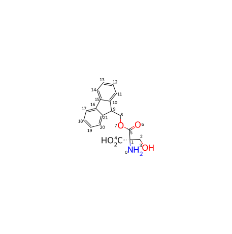 N[C@@](CO)(C(=O)O)C(=O)OCC1c2ccccc2-c2ccccc21